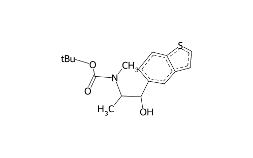 CC(C(O)c1ccc2sccc2c1)N(C)C(=O)OC(C)(C)C